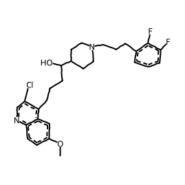 COc1ccc2ncc(Cl)c(CCCC(O)C3CCN(CCCc4cccc(F)c4F)CC3)c2c1